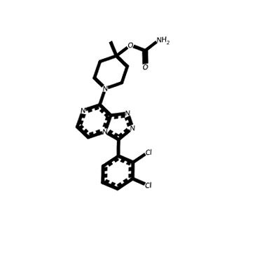 CC1(OC(N)=O)CCN(c2nccn3c(-c4cccc(Cl)c4Cl)nnc23)CC1